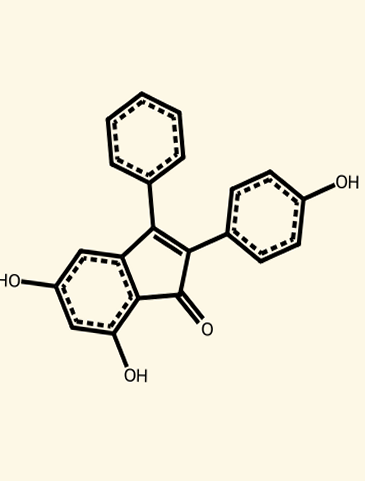 O=C1C(c2ccc(O)cc2)=C(c2ccccc2)c2cc(O)cc(O)c21